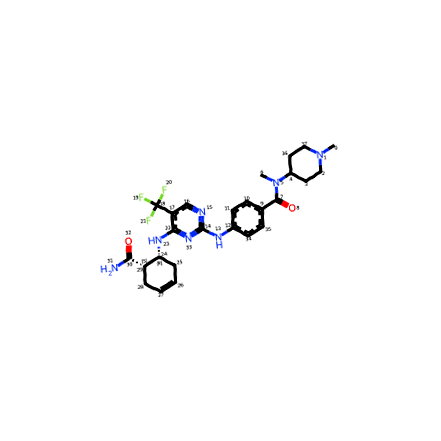 CN1CCC(N(C)C(=O)c2ccc(Nc3ncc(C(F)(F)F)c(N[C@@H]4CC=CC[C@@H]4C(N)=O)n3)cc2)CC1